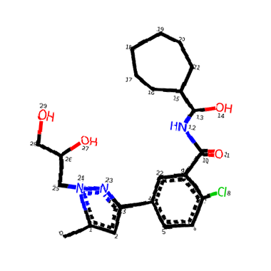 Cc1cc(-c2ccc(Cl)c(C(=O)NC(O)C3CCCCCC3)c2)nn1CC(O)CO